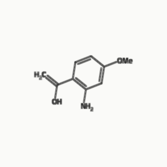 C=C(O)c1ccc(OC)cc1N